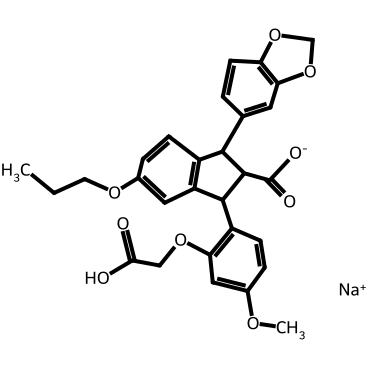 CCCOc1ccc2c(c1)C(c1ccc(OC)cc1OCC(=O)O)C(C(=O)[O-])C2c1ccc2c(c1)OCO2.[Na+]